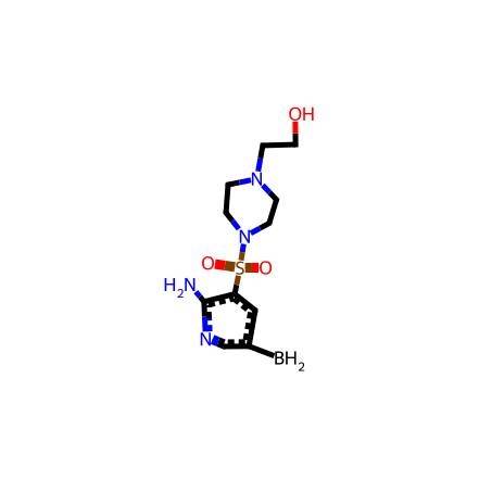 Bc1cnc(N)c(S(=O)(=O)N2CCN(CCO)CC2)c1